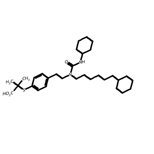 CC(C)(Sc1ccc(CCN(CCCCCCC2CCCCC2)C(=O)NC2CCCCC2)cc1)C(=O)O